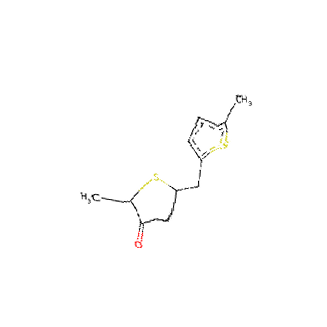 Cc1ccc(CC2CC(=O)C(C)S2)s1